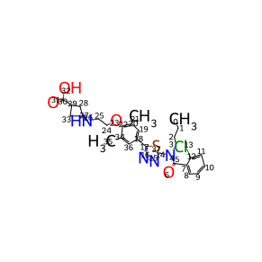 CCCCN(C(=O)c1ccccc1Cl)c1nnc(-c2cc(C)c(OCCNC3CC(C(=O)O)C3)c(C)c2)s1